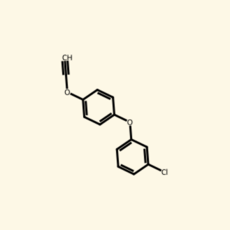 C#COc1ccc(Oc2cccc(Cl)c2)cc1